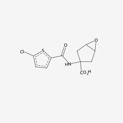 O=C(NC1(C(=O)O)CC2OC2C1)c1ccc(Cl)s1